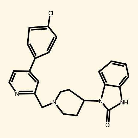 O=c1[nH]c2ccccc2n1C1CCN(Cc2cc(-c3ccc(Cl)cc3)ccn2)CC1